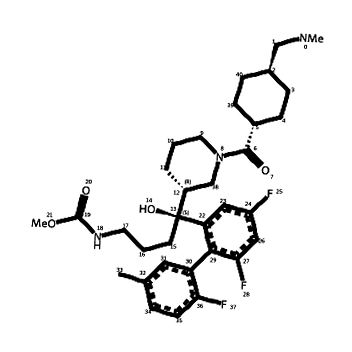 CNC[C@H]1CC[C@H](C(=O)N2CCC[C@@H]([C@@](O)(CCCNC(=O)OC)c3cc(F)cc(F)c3-c3cc(C)ccc3F)C2)CC1